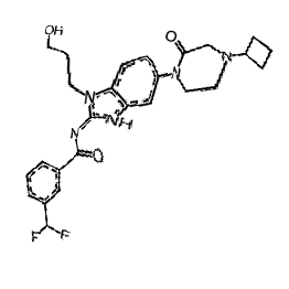 O=C(/N=c1\[nH]c2cc(N3CCN(C4CCC4)CC3=O)ccc2n1CCCO)c1cccc(C(F)F)c1